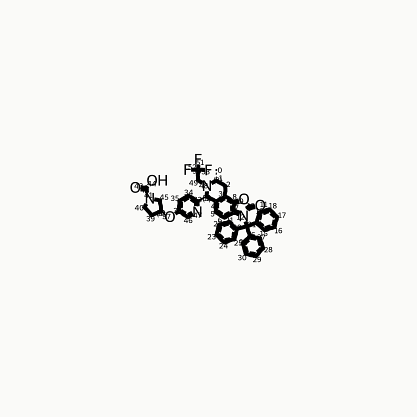 C[C@@H]1Cc2c(ccc3c2oc(=O)n3C(c2ccccc2)(c2ccccc2)c2ccccc2)[C@@H](c2ccc(O[C@H]3CCN(C(=O)O)C3)cn2)N1CC(F)(F)F